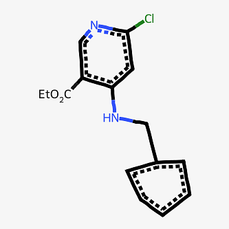 CCOC(=O)c1cnc(Cl)cc1NCc1ccccc1